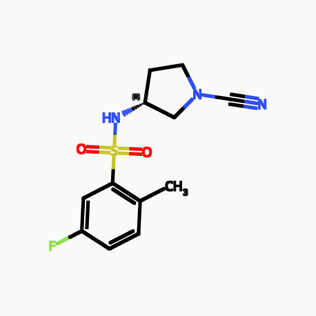 Cc1ccc(F)cc1S(=O)(=O)N[C@@H]1CCN(C#N)C1